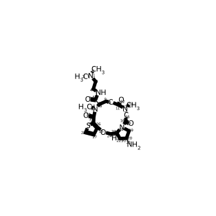 CN(C)CCNC(=O)[C@@H]1CCC(=O)N(C)CC(=O)N2C[C@H](N)C[C@H]2COc2ccsc2C(=O)N1C